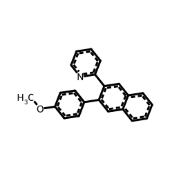 COc1ccc(-c2cc3ccccc3cc2-c2ccccn2)cc1